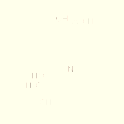 COc1cc2c(cc1CO)C1CC(O)C(CC(C)C)CN1CC2